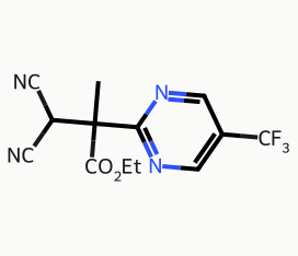 CCOC(=O)C(C)(c1ncc(C(F)(F)F)cn1)C(C#N)C#N